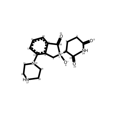 O=C1CCC([N+]2([O-])Cc3c(cccc3N3CCNCC3)C2=O)C(=O)N1